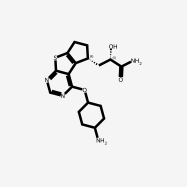 NC(=O)[C@@H](O)C[C@H]1CCc2sc3ncnc(OC4CCC(N)CC4)c3c21